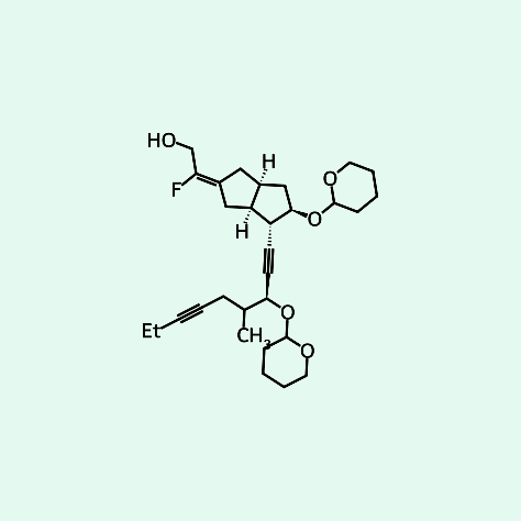 CCC#CCC(C)[C@@H](C#C[C@@H]1[C@H]2CC(=C(F)CO)C[C@H]2C[C@H]1OC1CCCCO1)OC1CCCCO1